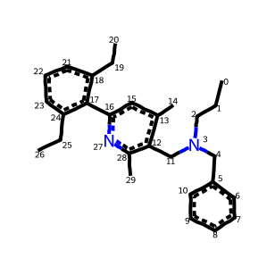 CCCN(Cc1ccccc1)Cc1c(C)cc(-c2c(CC)cccc2CC)nc1C